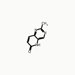 Cc1ncc2[nH]c(=O)ccc2n1